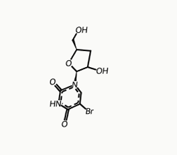 O=c1[nH]c(=O)n([C@H]2O[C@@H](CO)CC2O)cc1Br